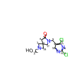 O=C(O)N1CC2(CC(=O)N(Cc3cnc(Cl)nc3Cl)C2)C1